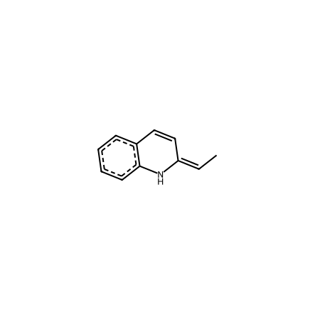 C/C=C1\C=Cc2ccccc2N1